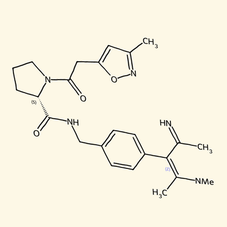 CN/C(C)=C(\C(C)=N)c1ccc(CNC(=O)[C@@H]2CCCN2C(=O)Cc2cc(C)no2)cc1